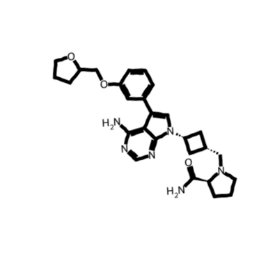 NC(=O)[C@@H]1CCCN1C[C@H]1C[C@@H](n2cc(-c3cccc(OCC4CCCO4)c3)c3c(N)ncnc32)C1